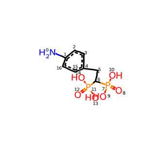 Nc1ccc([C]C(P(=O)(O)O)P(=O)(O)O)cc1